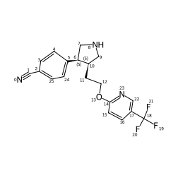 N#Cc1ccc([C@H]2CNC[C@H]2CCOc2ccc(C(F)(F)F)cn2)cc1